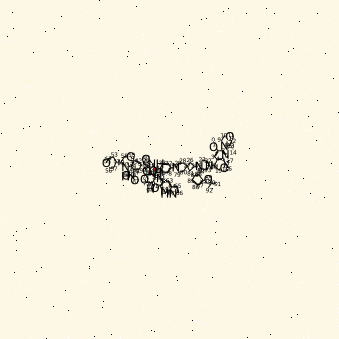 COc1cc2c(nc1N1CCOC[C@@H]1C)C(C)(C)OC[C@H]2N1CCN(C2CC3(CCN(c4ccc(C(=O)NS(=O)(=O)c5cc6c(c([N+](=O)[O-])c5)N[C@H](C5CCOCC5)CO6)c(N5c6cc7cc[nH]c7nc6O[C@H]6COCC[C@@H]65)c4)CC3)C2)[C@H](c2ccccc2OC(C)C)C1